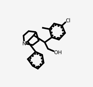 Cc1cc(Cl)ccc1C(CO)C1C2CCN(CC2)C1c1ccccc1